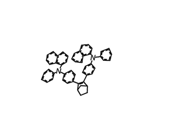 c1ccc(N(c2ccc(C3=C(c4ccc(N(c5ccccc5)c5cccc6ccccc56)cc4)C4CCC3C4)cc2)c2cccc3ccccc23)cc1